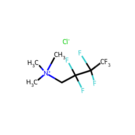 C[N+](C)(C)CC(F)(F)C(F)(F)C(F)(F)F.[Cl-]